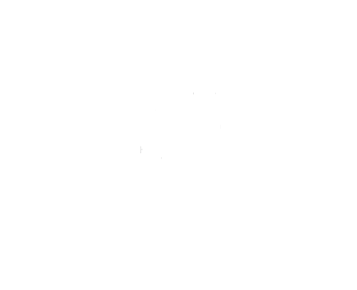 CCCCC(C(=O)[O-])(C(=O)[O-])c1ccccc1.[K+].[K+]